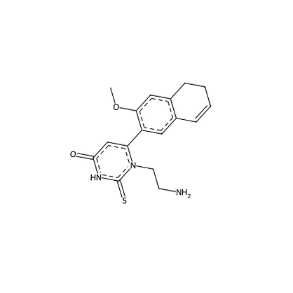 COc1cc2c(cc1-c1cc(=O)[nH]c(=S)n1CCN)C=CCC2